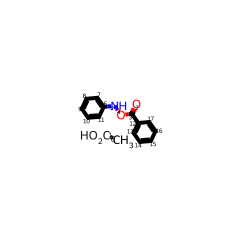 CC(=O)O.O=C(ONc1ccccc1)c1ccccc1